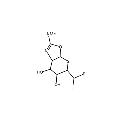 CNC1=NC2C(O1)SC(C(F)F)C(O)C2O